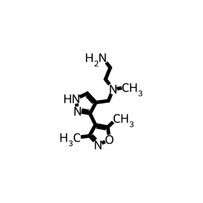 Cc1noc(C)c1-c1n[nH]cc1CN(C)CCN